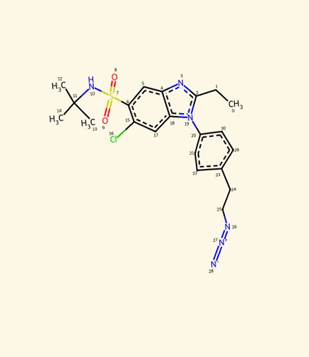 CCc1nc2cc(S(=O)(=O)NC(C)(C)C)c(Cl)cc2n1-c1ccc(CCN=[N+]=[N-])cc1